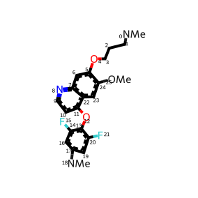 CNCCCOc1cc2nccc(Oc3c(F)cc(NC)cc3F)c2cc1OC